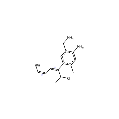 CCC(C)/C=C\C=C(\c1cc(CN)c(N)cc1C)C(C)Cl